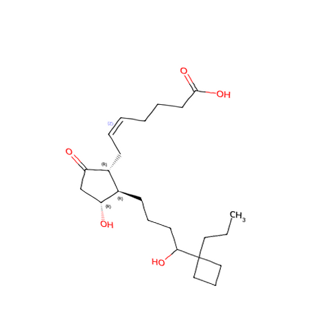 CCCC1(C(O)CCC[C@H]2[C@H](O)CC(=O)[C@@H]2C/C=C\CCCC(=O)O)CCC1